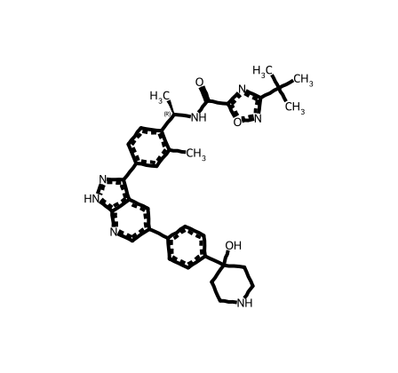 Cc1cc(-c2n[nH]c3ncc(-c4ccc(C5(O)CCNCC5)cc4)cc23)ccc1[C@@H](C)NC(=O)c1nc(C(C)(C)C)no1